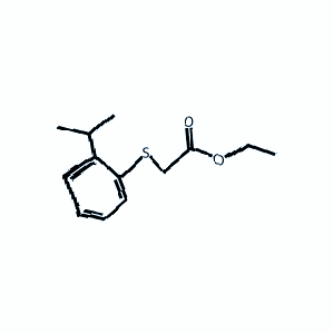 CCOC(=O)CSc1ccccc1C(C)C